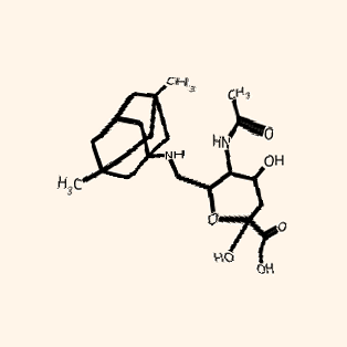 CC(=O)NC1C(O)CC(O)(C(=O)O)OC1CNC12CC3CC(C)(CC(C)(C3)C1)C2